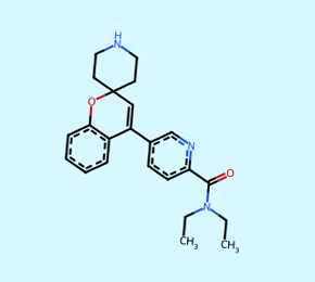 CCN(CC)C(=O)c1ccc(C2=CC3(CCNCC3)Oc3ccccc32)cn1